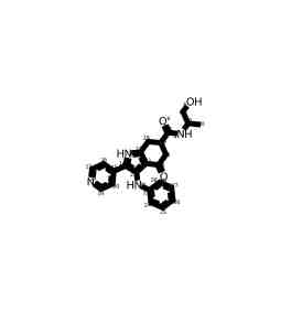 CC(CO)NC(=O)C1CC(=O)c2c([nH]c(-c3ccncc3)c2Nc2ccccc2)C1